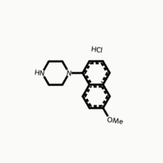 COc1ccc2c(N3CCNCC3)cccc2c1.Cl